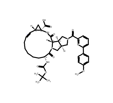 COc1ccc(-c2cccc(C(=O)N3C[C@H]4CN5C(=O)[C@H](NC(=O)OC(C)(C)C)CCCCC/C=C\[C@@H]6C[C@@]6(C(=O)O)NC(=O)[C@@H]5[C@H]4C3)n2)cc1